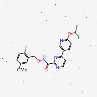 COc1ccc(F)c(CONC(=O)c2nccc(-c3ccc(OC(F)F)nc3)n2)c1